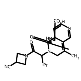 CC1=C2C=NC=CC23C(C(=O)O)NC(=O)C3N(C(C(=O)N2CC(C#N)C2)C(C)C)C1